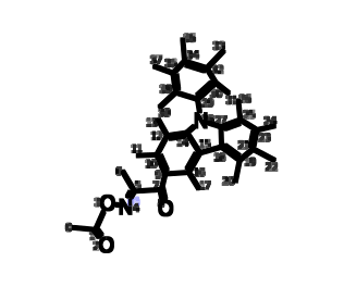 CC(=O)O/N=C(\C)C(=O)c1c(C)c(C)c2c(c1C)c1c(C)c(C)c(C)c(C)c1n2-c1c(C)c(C)c(C)c(C)c1C